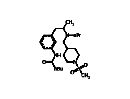 CCCCC(=O)Nc1cccc(CC(C)N(CCC)CC2CCN(S(C)(=O)=O)CC2)c1